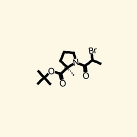 CC(Br)C(=O)N1CCC[C@]1(C)C(=O)OC(C)(C)C